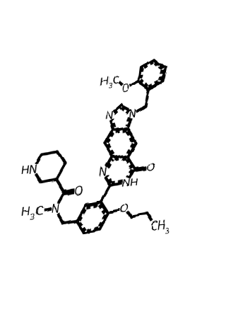 CCCOc1ccc(CN(C)C(=O)C2CCCNC2)cc1-c1nc2cc3ncn(Cc4ccccc4OC)c3cc2c(=O)[nH]1